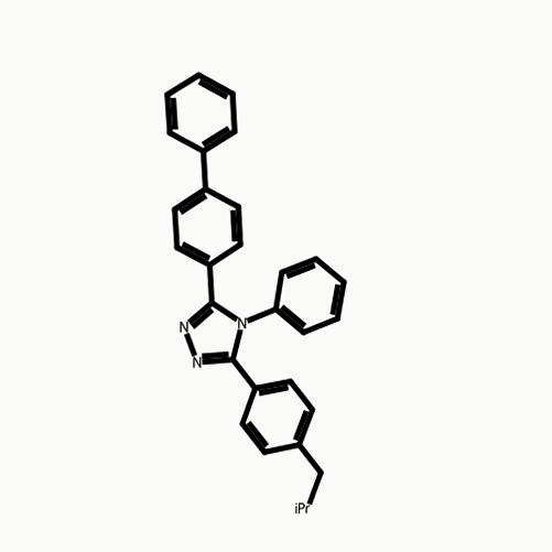 CC(C)Cc1ccc(-c2nnc(-c3ccc(-c4ccccc4)cc3)n2-c2ccccc2)cc1